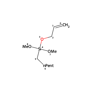 C=CCO[Si](CCCCCC)(OC)OC